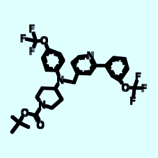 CC(C)(C)OC(=O)N1CCC(N(Cc2ccnc(-c3cccc(OC(F)(F)F)c3)c2)c2ccc(OC(F)(F)F)cc2)CC1